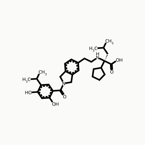 CC(C)C[C@](NCCc1ccc2c(c1)CN(C(=O)c1cc(C(C)C)c(O)cc1O)C2)(C(=O)O)C1CCCC1